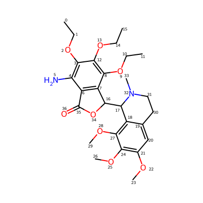 CCOc1c(N)c2c(c(OCC)c1OCC)C(C1c3c(cc(OC)c(OC)c3OC)CCN1C)OC2=O